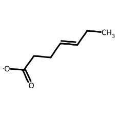 CC/C=C/CCC([O])=O